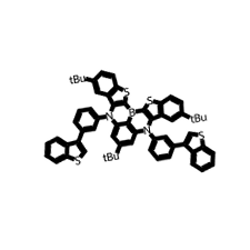 CC(C)(C)c1cc2c3c(c1)N(c1cccc(-c4csc5ccccc45)c1)c1c(sc4ccc(C(C)(C)C)cc14)B3c1sc3ccc(C(C)(C)C)cc3c1N2c1cccc(-c2csc3ccccc23)c1